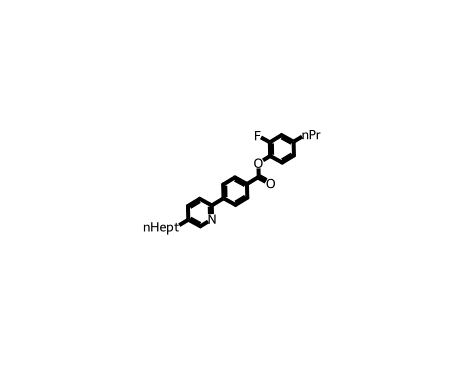 CCCCCCCc1ccc(-c2ccc(C(=O)Oc3ccc(CCC)cc3F)cc2)nc1